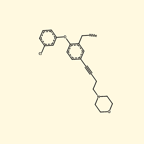 CNCc1cc(C#CCCN2CCOCC2)ccc1Oc1cccc(Cl)c1